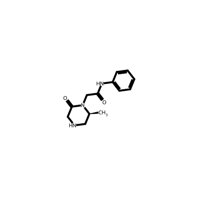 C[C@H]1CNCC(=O)N1CC(=O)Nc1ccccc1